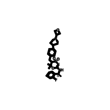 C[C@H](NC1=NS(=O)(=O)C(Cc2ccc(C3CCN(C4COC4)CC3)cc2)C(C)(C)O1)c1ccccc1F